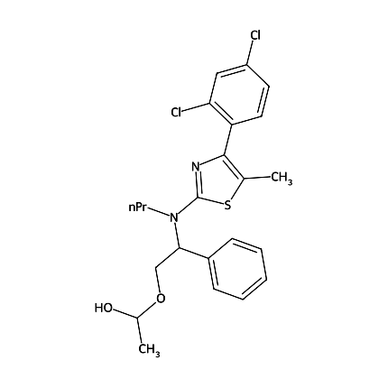 CCCN(c1nc(-c2ccc(Cl)cc2Cl)c(C)s1)C(COC(C)O)c1ccccc1